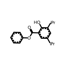 CC(C)c1cc(C(=O)Oc2ccccc2)c(O)c(C(C)C)c1